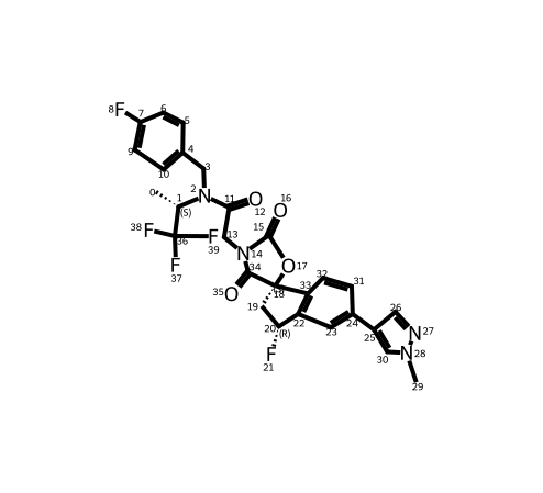 C[C@H](N(Cc1ccc(F)cc1)C(=O)CN1C(=O)O[C@]2(C[C@@H](F)c3cc(-c4cnn(C)c4)ccc32)C1=O)C(F)(F)F